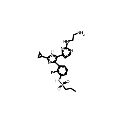 CCCS(=O)(=O)Nc1cccc(-c2nc(C3CC3)[nH]c2-c2ccnc(NCCN)n2)c1F